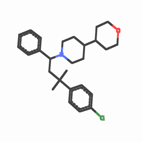 CC(C)(CC(c1ccccc1)N1CCC(C2CCOCC2)CC1)c1ccc(Cl)cc1